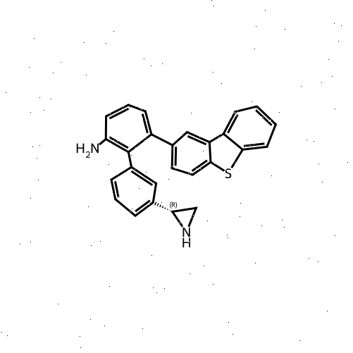 Nc1cccc(-c2ccc3sc4ccccc4c3c2)c1-c1cccc([C@@H]2CN2)c1